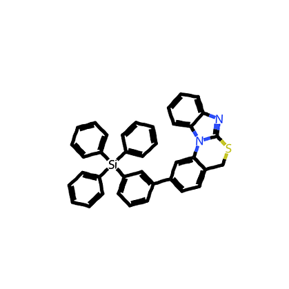 c1ccc([Si](c2ccccc2)(c2ccccc2)c2cccc(-c3ccc4c(c3)-n3c(nc5ccccc53)SC4)c2)cc1